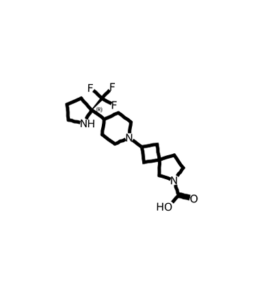 O=C(O)N1CCC2(CC(N3CCC([C@@]4(C(F)(F)F)CCCN4)CC3)C2)C1